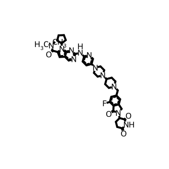 CN(C)C(=O)c1cc2cnc(Nc3ccc(N4CCN(C5CCN(Cc6cc(F)c7c(c6)CN(C6CCC(=O)NC6=O)C7=O)CC5)CC4)cn3)nc2n1C1CCCC1